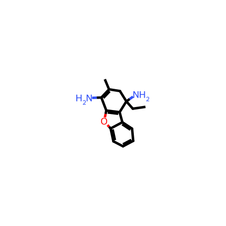 CCC1(N)CC(C)=C(N)c2oc3ccccc3c21